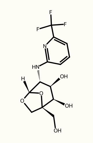 OC[C@@]12CO[C@@H](O1)[C@H](Nc1cccc(C(F)(F)F)n1)[C@@H](O)[C@H]2O